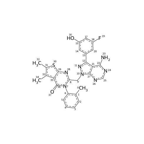 Cc1ccccc1-n1c(Cn2nc(-c3cc(O)cc(F)c3)c3c(N)ncnc32)nc2sc(C)c(C)c2c1=O